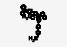 C=Cc1ccc(-c2ccc(-c3ccc(N(c4ccc5c(c4)C(C)(C)c4cc(-n6c7ccccc7c7ccccc76)ccc4-5)c4cccc5ccccc45)cc3)cc2)cc1